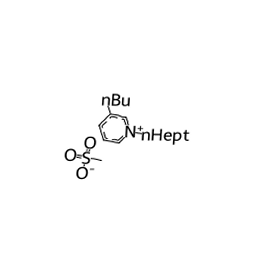 CCCCCCC[n+]1cccc(CCCC)c1.CS(=O)(=O)[O-]